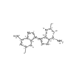 Cc1nc(N)c2ncn(-n3cnc4c(N)nc(C)nc43)c2n1